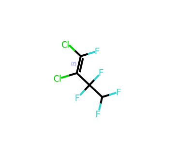 F/C(Cl)=C(/Cl)C(F)(F)C(F)F